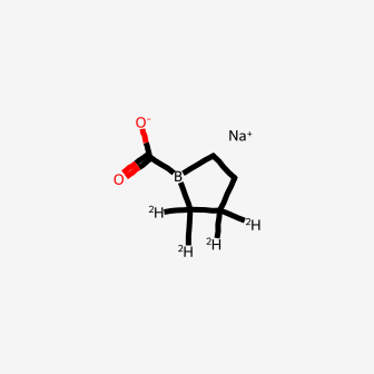 [2H]C1([2H])CCB(C(=O)[O-])C1([2H])[2H].[Na+]